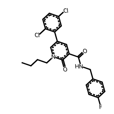 CCCCn1cc(-c2cc(Cl)ccc2Cl)cc(C(=O)NCc2ccc(F)cc2)c1=O